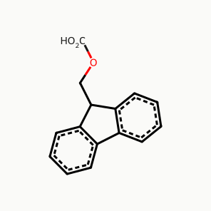 O=C(O)OCC1c2ccccc2-c2ccccc21